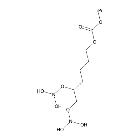 CC(C)OC(=O)OCCCC[C@H](CON(O)O)ON(O)O